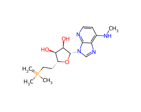 C=P(C)(C)CC[C@H]1O[C@@H](n2cnc3c(NC)ccnc32)[C@H](O)[C@@H]1O